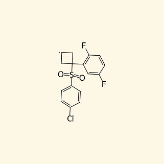 O=S(=O)(c1ccc(Cl)cc1)C1(c2cc(F)ccc2F)C[CH]C1